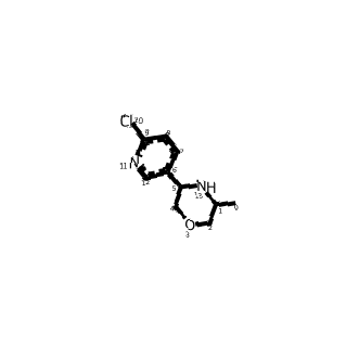 CC1COCC(c2ccc(Cl)nc2)N1